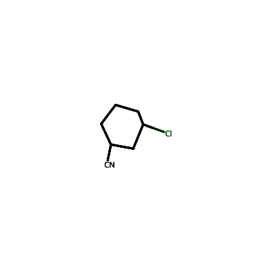 N#CC1CCCC(Cl)C1